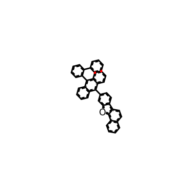 c1ccc(-c2ccccc2-c2c3ccccc3c(-c3ccc4c(c3)oc3c5ccccc5ccc43)c3ccccc23)cc1